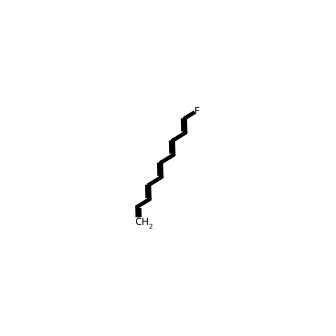 C=CC=CC=CC=CC=CF